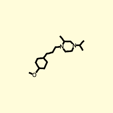 COC1CCC(CCCN2CCN(C(C)C)CC2C)CC1